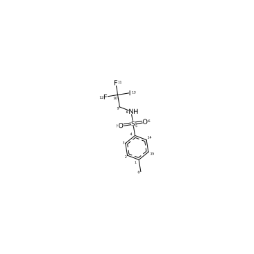 Cc1ccc(S(=O)(=O)NCC(F)(F)I)cc1